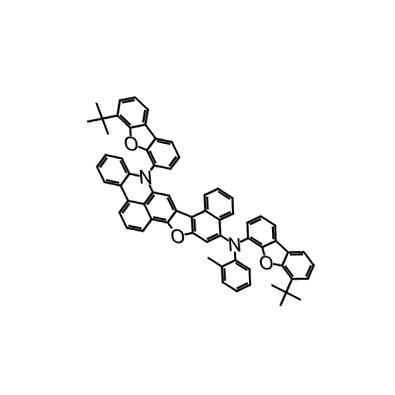 Cc1ccccc1N(c1cc2oc3c4cccc5c4c(cc3c2c2ccccc12)N(c1cccc2c1oc1c(C(C)(C)C)cccc12)c1ccccc1-5)c1cccc2c1oc1c(C(C)(C)C)cccc12